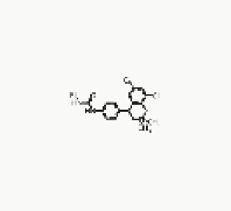 CCNC(=O)Nc1ccc(C2C[N+](C)(C)Cc3c(Cl)cc(Cl)cc32)cc1